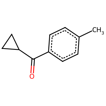 Cc1ccc(C(=O)C2CC2)cc1